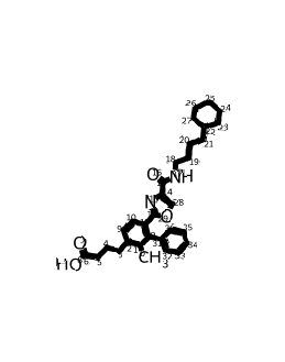 Cc1c(CCCC(=O)O)ccc(-c2nc(C(=O)NCCCCC3CCCCC3)co2)c1-c1ccccc1